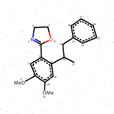 COc1cc(C2=NCCO2)c(C(C)Cc2ccccc2)cc1OC